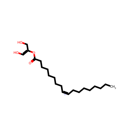 CCCCCCCC/C=C\CCCCCCCC(=O)OC(=CO)CO